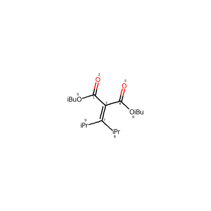 CC(C)COC(=O)C(C(=O)OCC(C)C)=C(C(C)C)C(C)C